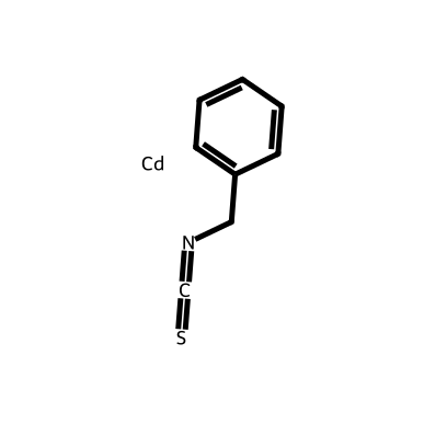 S=C=NCc1ccccc1.[Cd]